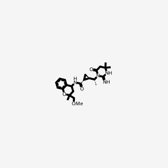 COCC1(C)CC(NC(=O)[C@@H]2C[C@H]2[C@@H](C)N2C(=N)NC(C)(C)CC2=O)c2ccccc2O1